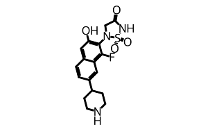 O=C1CN(c2c(O)cc3ccc(C4CCNCC4)cc3c2F)S(=O)(=O)N1